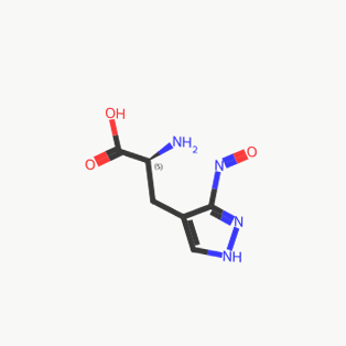 N[C@@H](Cc1c[nH]nc1N=O)C(=O)O